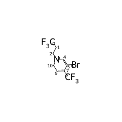 FC(F)(F)CCN1C=C(Br)C(C(F)(F)F)=CC1